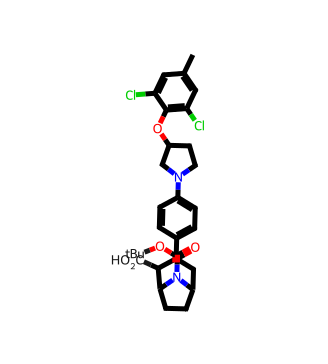 Cc1cc(Cl)c(OC2CCN(c3ccc(C4CC5CCC(C4C(=O)O)N5C(=O)OC(C)(C)C)cc3)C2)c(Cl)c1